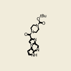 CC(C)(C)OC(=O)N1CCN(C(=O)c2cn3c(cnc4[nH]ccc43)n2)CC1